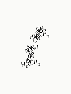 CC(=O)OC(C)c1nc2cc(CCNc3ncnc4c3sc3nc5c(cc34)COC(C)(C)C5)ccc2[nH]1